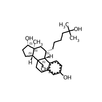 C=CC12CCc3cc(O)ccc3[C@H]1[C@@H](CCCCC(C)(C)O)C[C@]1(C)[C@@H](O)CC[C@@H]21